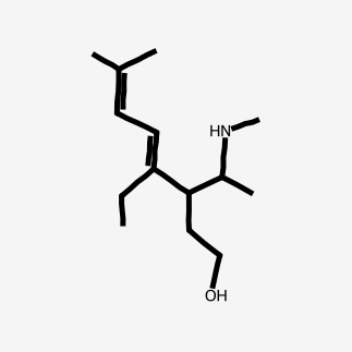 CC/C(=C\C=C(C)C)C(CCO)C(C)NC